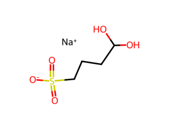 O=S(=O)([O-])CCCC(O)O.[Na+]